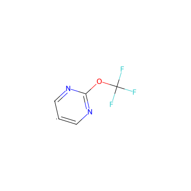 FC(F)(F)Oc1nc[c]cn1